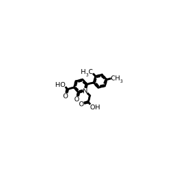 Cc1ccc(-c2ccc(C(=O)O)c(=O)n2CC(=O)O)c(C)c1